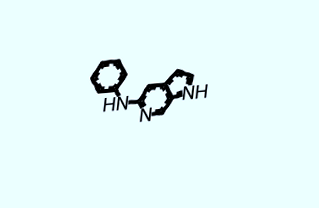 c1ccc(Nc2cc3cc[nH]c3cn2)cc1